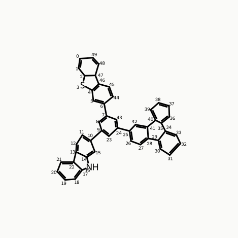 C1=CC2Sc3cc(-c4cc(-c5ccc6c(c5)[nH]c5ccccc56)cc(-c5ccc6c7ccccc7c7ccccc7c6c5)c4)ccc3C2C=C1